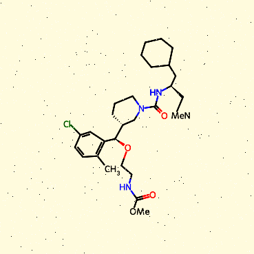 CNC[C@H](CC1CCCCC1)NC(=O)N1CCC[C@@H]([C@@H](OCCNC(=O)OC)c2cc(Cl)ccc2C)C1